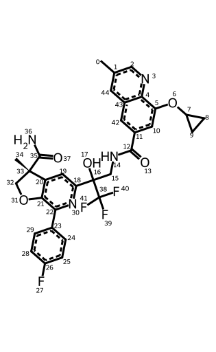 Cc1cnc2c(OC3CC3)cc(C(=O)NCC(O)(c3cc4c(c(-c5ccc(F)cc5)n3)OC[C@]4(C)C(N)=O)C(F)(F)F)cc2c1